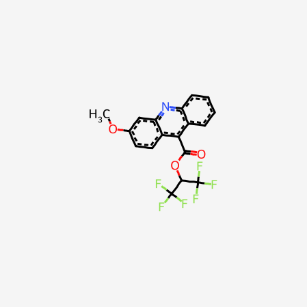 COc1ccc2c(C(=O)OC(C(F)(F)F)C(F)(F)F)c3ccccc3nc2c1